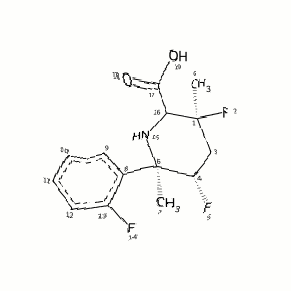 C[C@]1(F)C[C@H](F)[C@@](C)(c2ccccc2F)NC1C(=O)O